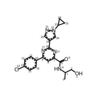 CC(CO)NC(=O)c1cc(-c2ccc(Cl)cc2)nc(-c2cnn(C3CC3)c2)n1